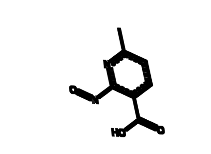 Cc1ccc(C(=O)O)c(N=O)n1